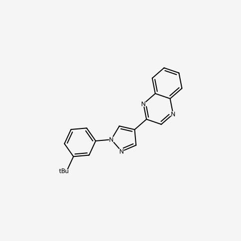 CC(C)(C)c1cccc(-n2cc(-c3cnc4ccccc4n3)cn2)c1